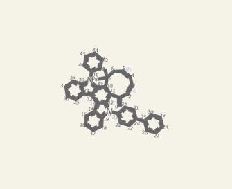 C=C1/C=C\C=C/CC(C)(C)c2c1c1c(c3ccccc3n1-c1ccc(-c3ccccc3)cc1)c1c3ccccc3n(-c3ccccc3)c21